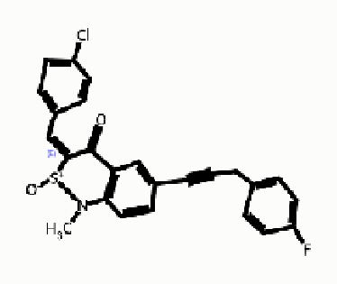 CN1c2ccc(C#CCc3ccc(F)cc3)cc2C(=O)/C(=C\c2ccc(Cl)cc2)[S+]1[O-]